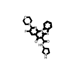 O=C(NC1CCNC1)c1c(=O)c2cc(F)c(N3CCOCC3)nc2n2c1sc1ccccc12